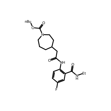 CCCCOC(=O)N1CCCC(CC(=O)Nc2ccc(F)cc2C(=O)NCC)CC1